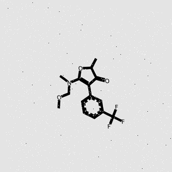 COCN(C)C1=C(c2cccc(C(F)(F)F)c2)C(=O)C(C)O1